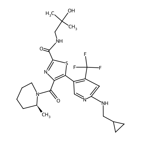 C[C@H]1CCCCN1C(=O)c1nc(C(=O)NCC(C)(C)O)sc1-c1cnc(NCC2CC2)cc1C(F)(F)F